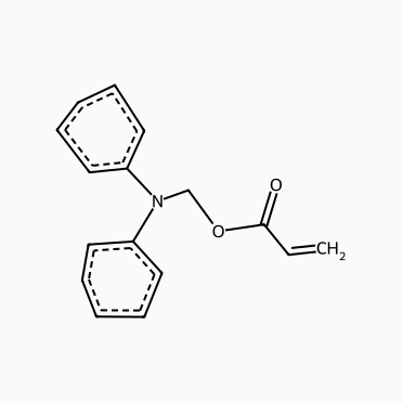 C=CC(=O)OCN(c1ccccc1)c1ccccc1